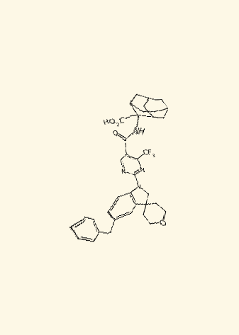 O=C(NC1(C(=O)O)C2CC3CC(C2)CC1C3)c1cnc(N2CC3(CCOCC3)c3cc(Cc4ccccc4)ccc32)nc1C(F)(F)F